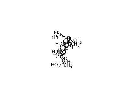 C=C(C)C1CC[C@]2(CCCN(CC)CCC)CC[C@]3(C)[C@H](CC[C@@H]4[C@@]5(C)CC[C@H](OC(=O)CC(C)(C)C(=O)O)C(C)(C)[C@@H]5CC[C@]43C)[C@@H]12